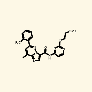 COCCOc1nccc(NC(=O)c2cnc3c(C)cc(-c4ccccc4C(F)(F)F)nn23)n1